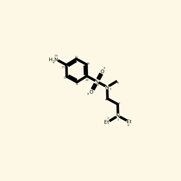 CCN(CC)CCN(C)S(=O)(=O)c1ccc(N)cc1